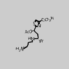 CC(=O)O[C@H](C[C@@H](NCCCN)C(C)C)c1nc(C(=O)O)cs1